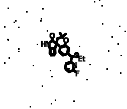 CCOC(c1ccc2c(c1)OC(C)(C)CC21C(=O)Nc2ccccc21)c1cccc(F)n1